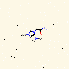 CCCCN1C=CN(CC(N)=O)C1.N#CNC#N